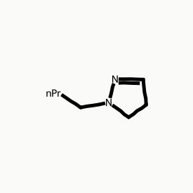 CCCCN1CCC=N1